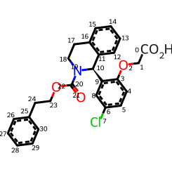 O=C(O)COc1ccc(Cl)cc1[C@@H]1c2ccccc2CCN1C(=O)OCCc1ccccc1